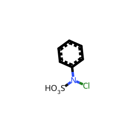 O=S(=O)(O)N(Cl)c1ccccc1